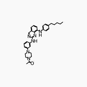 CCCCCc1ccc(Nc2cccc3cnc(Nc4cccc(N5CCN(C(C)=O)CC5)c4)nc23)cc1